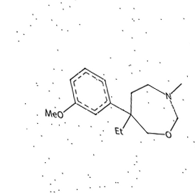 CCC1(c2cccc(OC)c2)CCN(C)COC1